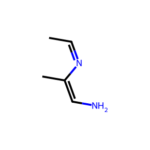 C/C=N\C(C)=C/N